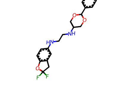 FC1(F)Cc2cc(NCCNC3COC(c4ccccc4)OC3)ccc2O1